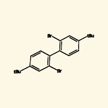 CC(C)(C)c1ccc(-c2ccc(C(C)(C)C)cc2Br)c(Br)c1